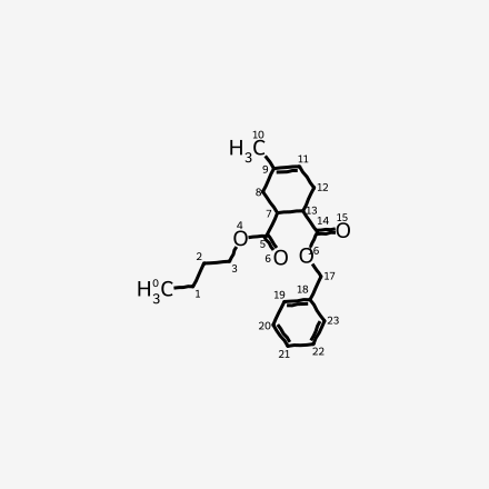 CCCCOC(=O)C1CC(C)=CCC1C(=O)OCc1ccccc1